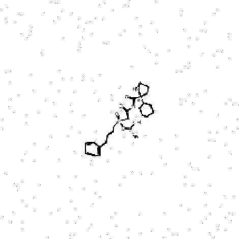 CC(C)[C@@H](O)O[P@](=O)(CCCCc1ccccc1)CC(=O)OC(=O)[C@@]1(C2CCCCC2)CCCN1